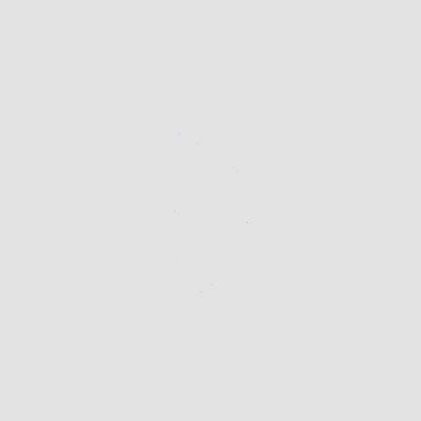 CC(=O)c1cnn(-c2ccc(NC(=O)Cc3ccccc3Cl)cc2S(N)(=O)=O)c1.NS(=O)(=O)c1cc(NC(=O)Cc2ccccc2C(F)(F)F)ccc1-n1cc(Cl)cn1